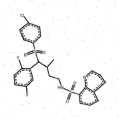 CC(CCNS(=O)(=O)c1cccc2cccnc12)C(c1cc(F)ccc1F)S(=O)(=O)c1ccc(Cl)cc1